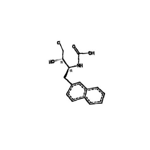 O=C(O)N[C@@H](Cc1ccc2ccccc2c1)[C@H](O)CCl